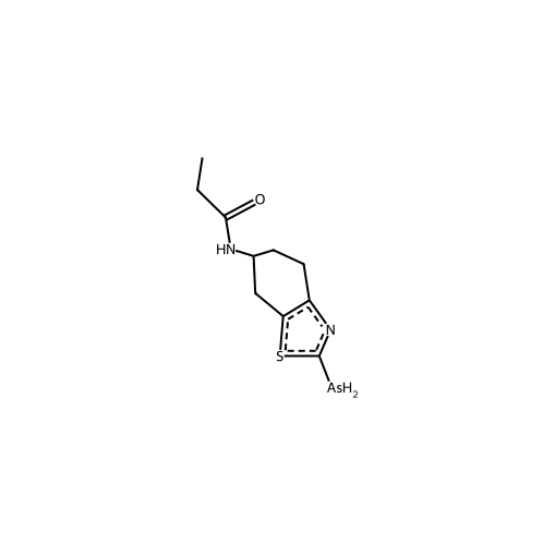 CCC(=O)NC1CCc2nc([AsH2])sc2C1